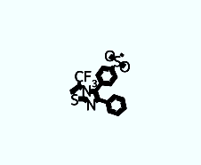 CS(=O)(=O)c1ccc(-c2c(-c3ccccc3)nc3scc(C(F)(F)F)n23)cc1